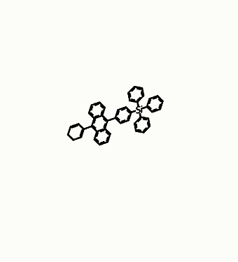 C1=CC(c2c3ccccc3c(-c3ccc([Si](c4ccccc4)(c4ccccc4)c4ccccc4)cc3)c3ccccc23)=CCC1